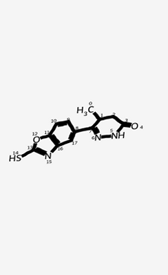 CC1CC(=O)NN=C1c1ccc2oc(S)nc2c1